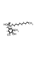 CCCCCCCCCCOP(=O)(O)Cc1cc(C)c(O)c(Cl)c1